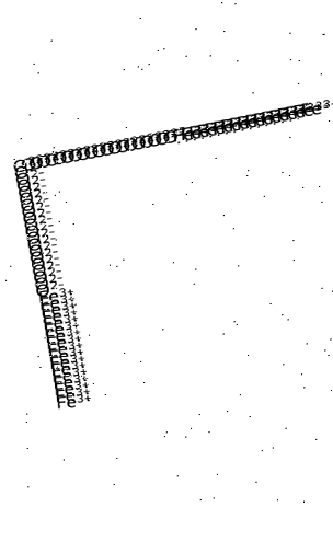 [Fe+3].[Fe+3].[Fe+3].[Fe+3].[Fe+3].[Fe+3].[Fe+3].[Fe+3].[Fe+3].[Fe+3].[Fe+3].[Fe+3].[Fe+3].[Fe+3].[Fe+3].[Fe+3].[Fe+3].[Fe+3].[Fe+3].[Fe+3].[Fe+3].[Fe+3].[Fe+3].[Fe+3].[Fe+3].[Fe+3].[Fe+3].[Fe+3].[Fe+3].[Fe+3].[Fe+3].[Fe+3].[Fe+3].[Fe+3].[O-2].[O-2].[O-2].[O-2].[O-2].[O-2].[O-2].[O-2].[O-2].[O-2].[O-2].[O-2].[O-2].[O-2].[O-2].[O-2].[O-2].[O-2].[O-2].[O-2].[O-2].[O-2].[O-2].[O-2].[O-2].[O-2].[O-2].[O-2].[O-2].[O-2].[O-2].[O-2].[O-2].[O-2].[O-2].[O-2].[O-2].[O-2].[O-2]